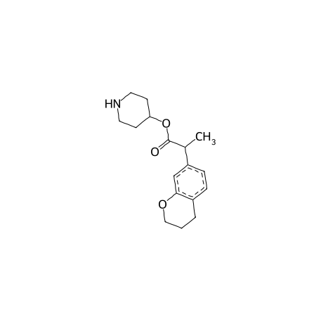 CC(C(=O)OC1CCNCC1)c1ccc2c(c1)OCCC2